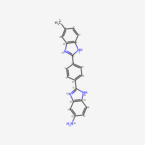 Cc1ccc2[nH]c(-c3ccc(-c4nc5cc(N)ccc5[nH]4)cc3)nc2c1